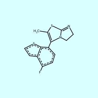 CC1=C(c2ccc(F)c3ccsc23)N2CCN=C2S1